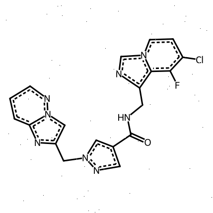 O=C(NCc1ncn2ccc(Cl)c(F)c12)c1cnn(Cc2cn3ncccc3n2)c1